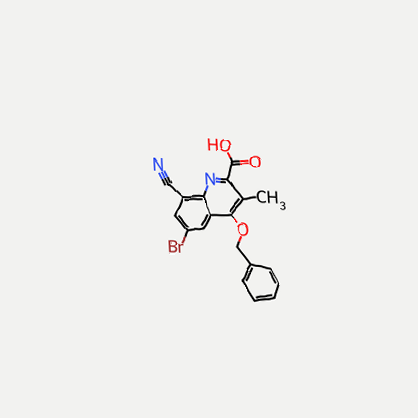 Cc1c(C(=O)O)nc2c(C#N)cc(Br)cc2c1OCc1ccccc1